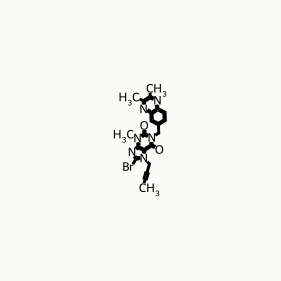 CC#CCn1c(Br)nc2c1c(=O)n(Cc1ccc3nc(C)c(C)nc3c1)c(=O)n2C